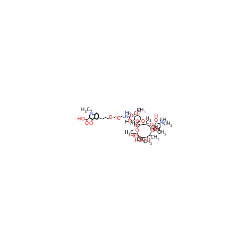 CC[C@H]1OC(=O)[C@H](C)[C@@H](OC2C[C@@](C)(OC)[C@@H](OC(=O)NCCOCCOCCCc3ccc4c(c3)c(=O)c(C(=O)O)cn4CC)[C@H](C)O2)[C@H](C)[C@@H](OC2O[C@H](C)C[C@H](N(C)C)[C@H]2O)[C@](C)(OC)C[C@@H](C)C(=O)[C@H](C)[C@@H](O)[C@]1(C)O